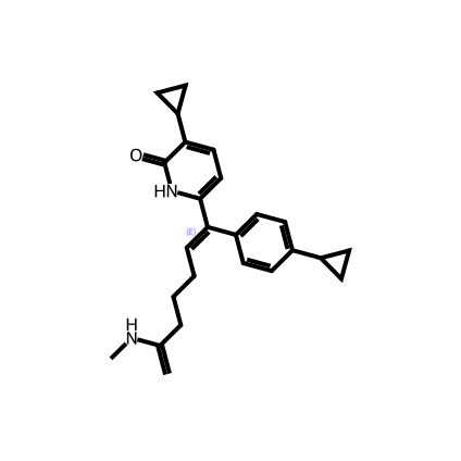 C=C(CCC/C=C(\c1ccc(C2CC2)cc1)c1ccc(C2CC2)c(=O)[nH]1)NC